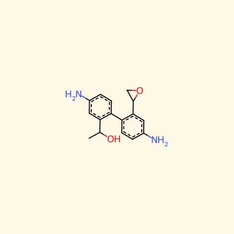 CC(O)c1cc(N)ccc1-c1ccc(N)cc1C1CO1